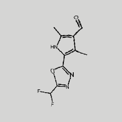 Cc1[nH]c(-c2nnc(C(F)F)o2)c(C)c1C=O